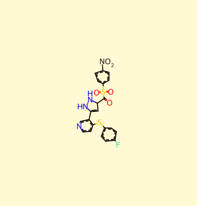 O=C(C1C=C(c2cnccc2Sc2ccc(F)cc2)NN1)S(=O)(=O)c1ccc([N+](=O)[O-])cc1